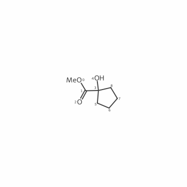 COC(=O)C1(O)CCCC1